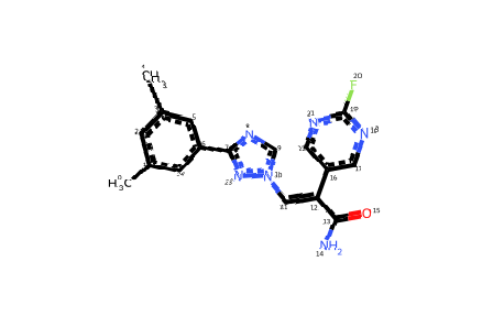 Cc1cc(C)cc(-c2ncn(/C=C(/C(N)=O)c3cnc(F)nc3)n2)c1